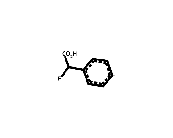 O=C(O)C(F)c1cc[c]cc1